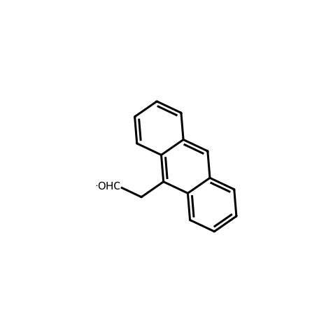 O=[C]Cc1c2ccccc2cc2ccccc12